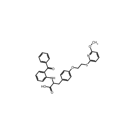 COc1cccc(SCCOc2ccc(CC(Nc3ccccc3C(=O)c3ccccc3)C(=O)O)cc2)n1